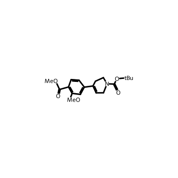 COC(=O)c1ccc(C2=CCN(C(=O)OC(C)(C)C)CC2)cc1OC